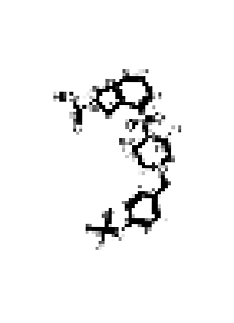 C[C@@H]1CN(Cc2ccc(OC(F)(F)F)cc2)C[C@H](C)N1S(=O)(=O)c1cccc2c1C[C@@H](C(=O)O)C2